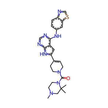 CN1CCN(C(=O)N2CC=C(c3cc4c(Nc5ccc6ncsc6c5)ncnc4[nH]3)CC2)C(C)(C)C1